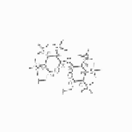 C[Si](C)(C)[C@@H]1[C@@H]([Si](C)(C)C)[C@@H](O[C@@H]2O[C@@H](CI)[C@H]([Si](C)(C)C)[C@@H]([Si](C)(C)C)[C@@H]2[Si](C)(C)C)O[C@H](CI)[C@H]1[Si](C)(C)C